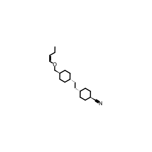 CC/C=C\OC[C@H]1CC[C@H](CC[C@H]2CC[C@H](C#N)CC2)CC1